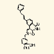 O=C1NC(=O)c2ccc(C=CCc3ccccc3)cc2C1=CNCc1ccc(O)c(O)c1